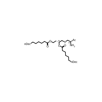 CCCCCCCCCCCCCCCC(=O)OCC[C@H](CSC[C@H](N)C(C)=O)OC(=O)CCCCCCCCCCCCCCC